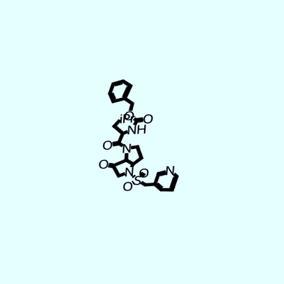 CC(C)CC(NC(=O)OCc1ccccc1)C(=O)N1CCC2C1C(=O)CN2S(=O)(=O)Cc1cccnc1